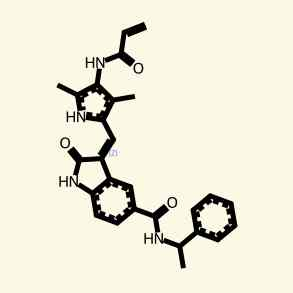 C=CC(=O)Nc1c(C)[nH]c(/C=C2\C(=O)Nc3ccc(C(=O)NC(C)c4ccccc4)cc32)c1C